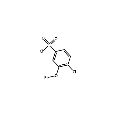 CCOc1cc(S(=O)(=O)Cl)ccc1Cl